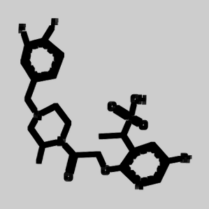 CC1CN(Cc2ccc(F)c(F)c2)CCN1C(=O)COc1ncc(Br)cc1C(C)S(=O)(=O)O